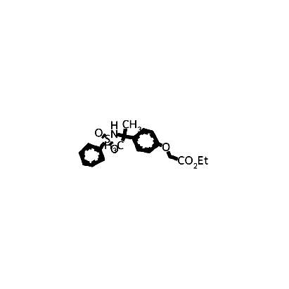 CCOC(=O)COc1ccc(C(C)(C)NS(=O)(=O)c2ccccc2)cc1